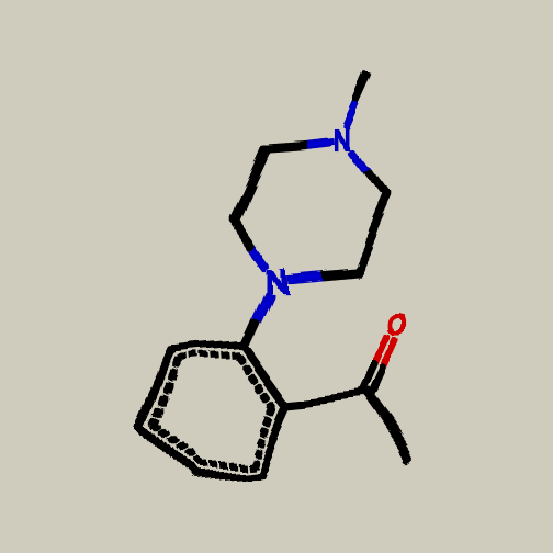 CC(=O)c1ccccc1N1CCN(C)CC1